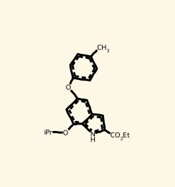 CCOC(=O)c1cc2cc(Oc3ccc(C)cc3)cc(OC(C)C)c2[nH]1